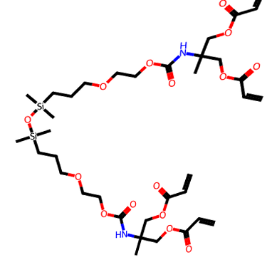 C=CC(=O)OCC(C)(COC(=O)C=C)NC(=O)OCCOCCC[Si](C)(C)O[Si](C)(C)CCCOCCOC(=O)NC(C)(COC(=O)C=C)COC(=O)C=C